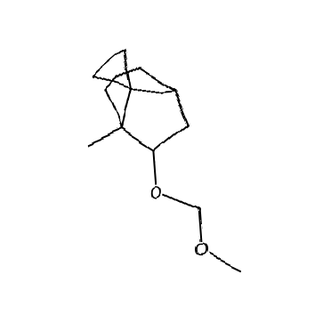 COCOC1CC2CCC1(C)C21CC1